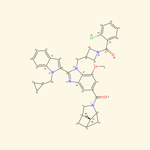 COc1cc(C(=O)N2CC3CC4CC2[C@H]43)cc2nc(-c3cc4ccccc4n3CC3CC3)n(CC3CN(C(=O)c4ccccc4Cl)C3)c12